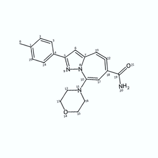 Cc1ccc(-c2cc3n(n2)C(N2CCOCC2)=CC(C(N)=O)=C=C3)cc1